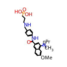 CCCN(C)c1cc(C(=O)Nc2ccc(CNCCCP(=O)(O)O)cc2)cc2ccc(OC)cc12